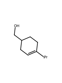 CC(C)C1=CCC(CO)CC1